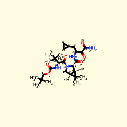 CC(C)(C)COC(=O)N[C@H](C(=O)N1C[C@H]2[C@@H]([C@H]1C(=O)NC(CC1CC1)C(=O)C(N)=O)C2(C)C)C(C)(C)C